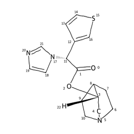 O=C(O[C@H]1CN2CCC1CC2)[C@@H](c1ccsc1)n1ccnc1